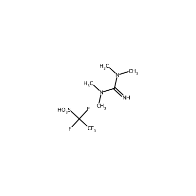 CN(C)C(=N)N(C)C.O=S(=O)(O)C(F)(F)C(F)(F)F